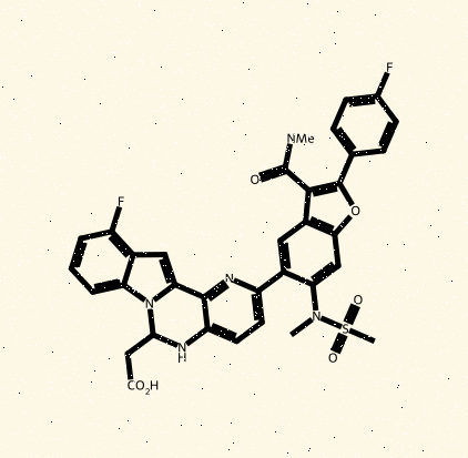 CNC(=O)c1c(-c2ccc(F)cc2)oc2cc(N(C)S(C)(=O)=O)c(-c3ccc4c(n3)-c3cc5c(F)cccc5n3C(CC(=O)O)N4)cc12